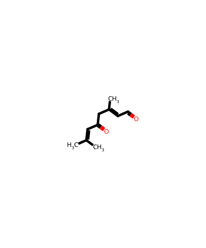 CC(C)=CC(=O)CC(C)=CC=O